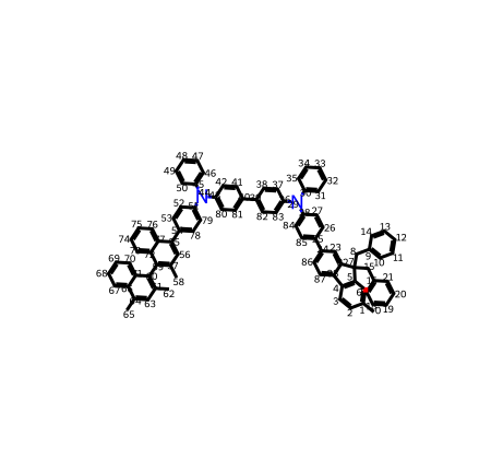 Cc1ccc2c(c1)C(Cc1ccccc1)(Cc1ccccc1)c1cc(-c3ccc(N(c4ccccc4)c4ccc(-c5ccc(N(c6ccccc6)c6ccc(-c7cc(C)c(-c8c(C)cc(C)c9ccccc89)c8ccccc78)cc6)cc5)cc4)cc3)ccc1-2